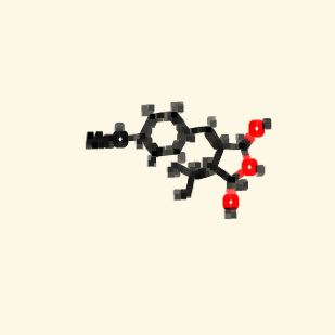 COc1ccc(/C=C2/C(=O)OC(=O)C2=C(C)C)cc1